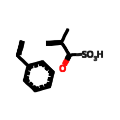 C=C(C)C(=O)S(=O)(=O)O.C=Cc1ccccc1